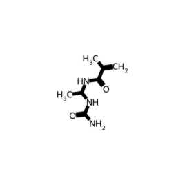 C=C(C)C(=O)NC(C)NC(N)=O